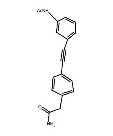 CC(=O)Nc1cccc(C#Cc2ccc(CC(N)=O)cc2)c1